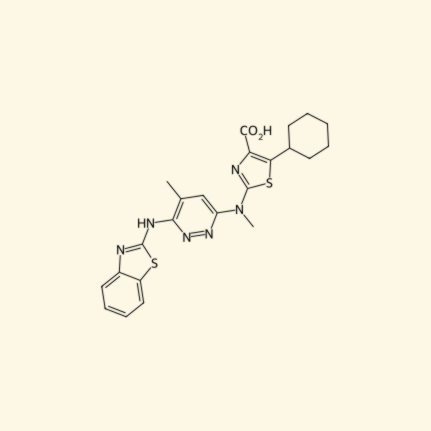 Cc1cc(N(C)c2nc(C(=O)O)c(C3CCCCC3)s2)nnc1Nc1nc2ccccc2s1